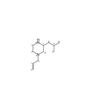 C=CCN1CCNC(CC(C)C)C1